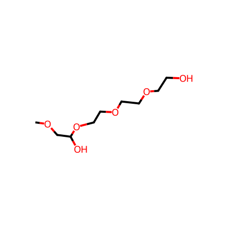 COCC(O)OCCOCCOCCO